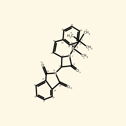 CC(C)(C)[Si](C)(C)N1C(=O)C(N2C(=O)c3ccccc3C2=O)C1/C=C\c1ccccc1